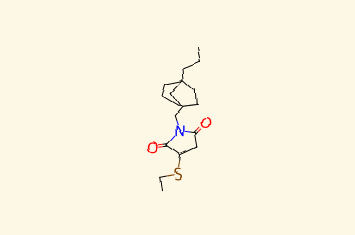 CCCC12CCC(CN3C(=O)CC(SCC)C3=O)(CC1)C2